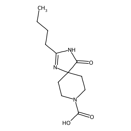 CCCCC1=NC2(CCN(C(=O)O)CC2)C(=O)N1